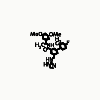 COc1cc(OC)cc(C(C)NC(=O)c2cc(CNC3=NCCN3)cc(-c3ccc(F)cc3C)c2)c1